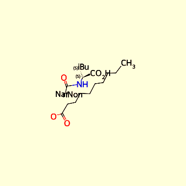 CCCCCCCCCC(=O)N[C@H](C(=O)O)[C@@H](C)CC.CCCCCCCCCC(=O)[O-].[Na+]